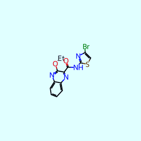 CCOc1nc2ccccc2nc1C(=O)Nc1nc(Br)cs1